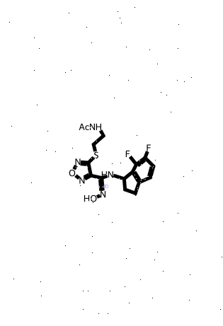 CC(=O)NCCSc1nonc1/C(=N\O)NC1CCc2ccc(F)c(F)c21